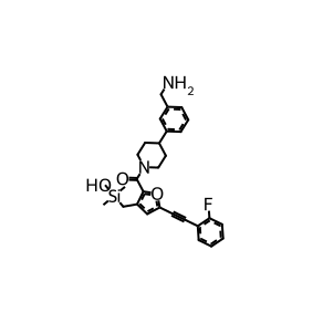 C[Si](C)(O)Cc1cc(C#Cc2ccccc2F)oc1C(=O)N1CCC(c2cccc(CN)c2)CC1